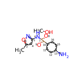 CO.Cc1cc(NS(=O)(=O)c2ccc(N)cc2)no1